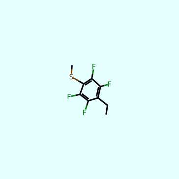 CCc1c(F)c(F)c(SC)c(F)c1F